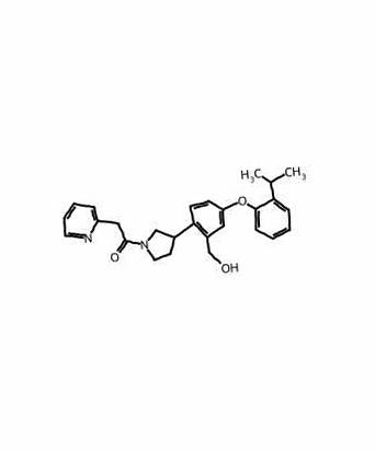 CC(C)c1ccccc1Oc1ccc(C2CCN(C(=O)Cc3ccccn3)C2)c(CO)c1